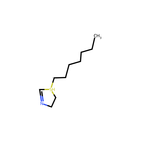 CCCCCC[CH][SH]1C=NCC1